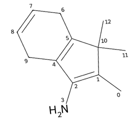 CC1=C(N)C2=C(CC=CC2)C1(C)C